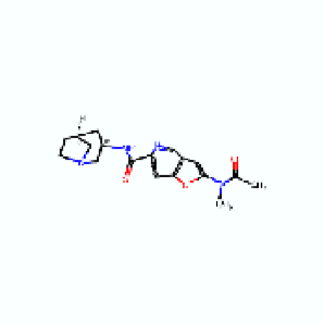 CC(=O)N(C)c1cc2cnc(C(=O)N[C@@H]3C[C@@H]4CCN(C4)C3)cc2o1